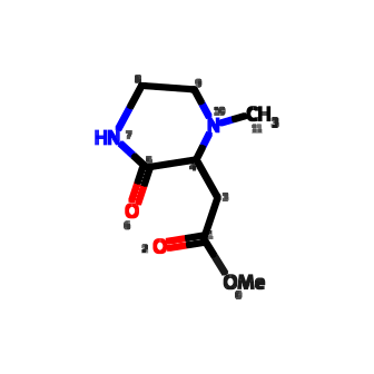 COC(=O)CC1C(=O)NCCN1C